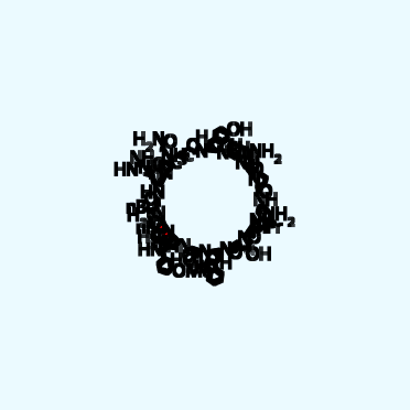 CCCCC1C(=O)N(C)C(CCCC)C(=O)NC(CCCNC(=N)N)C(=O)NC(C(=O)NCC(N)=O)CSCC(=O)NC(Cc2ccc(O)cc2)C(=O)N(C)C(C)C(=O)NC(CC(N)=O)C(=O)N2CCCC2C(=O)NC(CN)C(=O)NC(CC(C)C)C(=O)N2C[C@H](O)CC2C(=O)NC(Cc2c[nH]c3ccccc23)C(=O)NC(CO)C(=O)NC(Cc2c(-c3cccc(OC)c3)[nH]c3ccccc23)C(=O)N1C